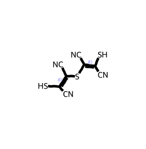 N#C/C(S)=C(/C#N)S/C(C#N)=C(/S)C#N